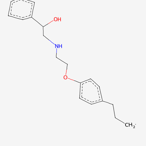 [CH2]CCc1ccc(OCCNCC(O)c2ccccc2)cc1